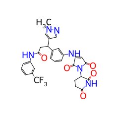 Cn1cc(C(CC(=O)Nc2cccc(C(F)(F)F)c2)c2cccc(NC3=CC(=O)N(C4CCC(=O)NC4=O)C3=O)c2)cn1